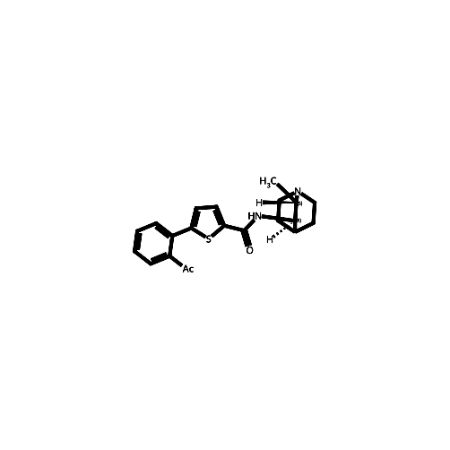 CC(=O)c1ccccc1-c1ccc(C(=O)N[C@@H]2C3CCN(CC3)[C@H]2C)s1